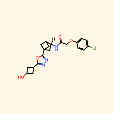 O=C(COc1ccc(Cl)cc1)N[C@@H]1CC2(c3nnc(C4CC(O)C4)o3)CC1C2